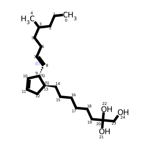 CCCC(C)CC/C=C/[C@H]1C=CC[C@@H]1CCCCCCC(O)(O)CO